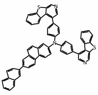 c1ccc2cc(-c3ccc4c(ccc5cc(N(c6ccc(-c7cncc8sc9ccccc9c78)cc6)c6ccc(-c7cncc8sc9ccccc9c78)cc6)ccc54)c3)ccc2c1